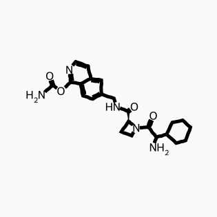 NC(=O)Oc1nccc2cc(CNC(=O)[C@@H]3CCN3C(=O)C(N)C3CCCCC3)ccc12